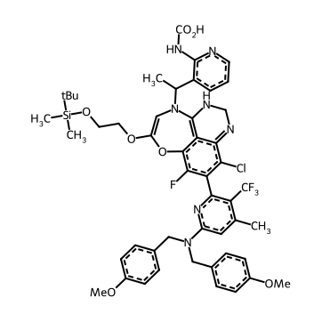 COc1ccc(CN(Cc2ccc(OC)cc2)c2cc(C)c(C(F)(F)F)c(-c3c(F)c4c5c(c3Cl)=NCNC=5N(C(C)c3cccnc3NC(=O)O)C=C(OCCO[Si](C)(C)C(C)(C)C)O4)n2)cc1